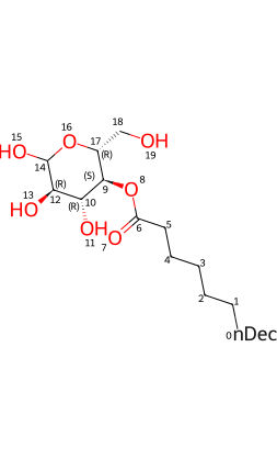 CCCCCCCCCCCCCCCC(=O)O[C@H]1[C@H](O)[C@@H](O)C(O)O[C@@H]1CO